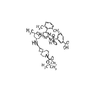 Cc1cccc(C)c1-c1cc(OCC(CC(C)C)NC2CC3(CCN(C(=O)OC(C)(C)C)CC3)C2)nc(NS(=O)(=O)c2cccc(C(=O)O)c2)n1